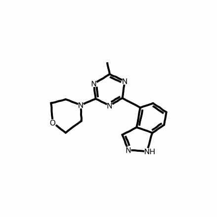 Cc1nc(-c2cccc3[nH]ncc23)nc(N2CCOCC2)n1